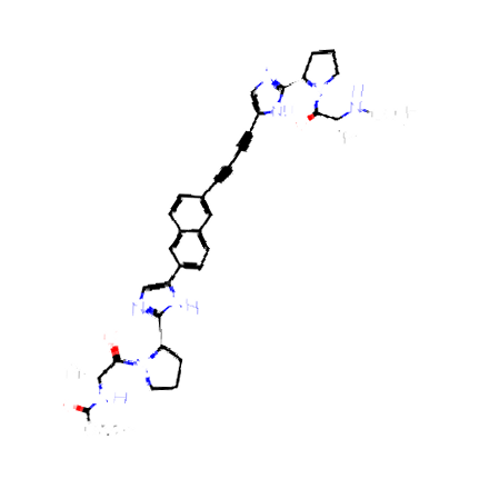 COC(=O)N[C@@H](C(=O)N1CCC[C@@H]1c1ncc(-c2ccc3cc(C#CC#Cc4cnc([C@H]5CCCN5C(=O)[C@H](NC(=O)O)C(C)C)[nH]4)ccc3c2)[nH]1)C(C)C